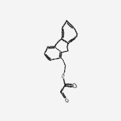 O=CC(=O)OCc1cccc2c1Cc1ccccc1-2